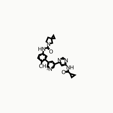 Cc1ccc(NC(=O)N2CCC3(CC3)C2)cc1-c1cncc(-c2cc(NC(=O)C3CC3)ncn2)c1